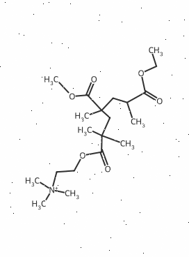 CCOC(=O)C(C)CC(C)(CC(C)(C)C(=O)OCC[N+](C)(C)C)C(=O)OC